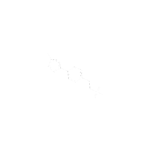 O=S(=O)([O-])CC[n+]1ccc(-c2ncc(Cl)s2)cn1